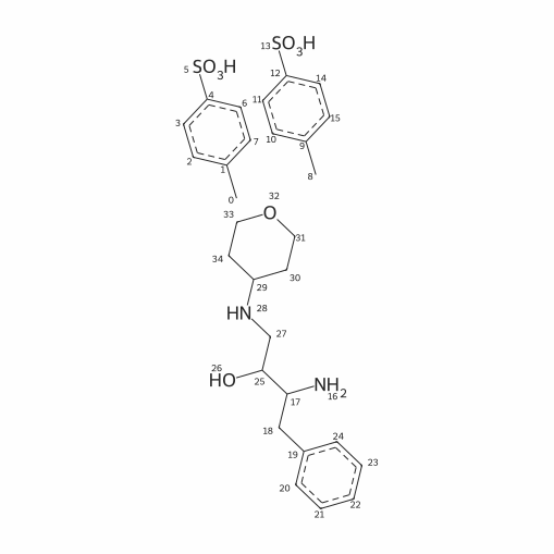 Cc1ccc(S(=O)(=O)O)cc1.Cc1ccc(S(=O)(=O)O)cc1.NC(Cc1ccccc1)C(O)CNC1CCOCC1